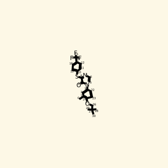 Cc1cc(-n2ccnc(Sc3ccc(C(F)(F)F)cc3)c2=O)ccc1OCC(C)(C)C